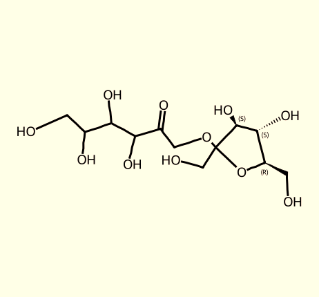 O=C(COC1(CO)O[C@H](CO)[C@@H](O)[C@@H]1O)C(O)C(O)C(O)CO